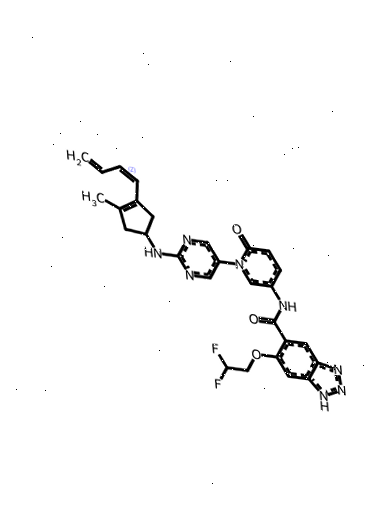 C=C/C=C\C1=C(C)CC(Nc2ncc(-n3cc(NC(=O)c4cc5nn[nH]c5cc4OCC(F)F)ccc3=O)cn2)C1